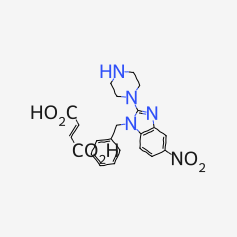 O=C(O)C=CC(=O)O.O=[N+]([O-])c1ccc2c(c1)nc(N1CCNCC1)n2Cc1ccccc1